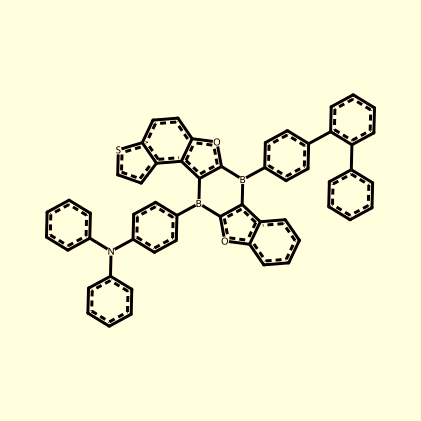 c1ccc(-c2ccccc2-c2ccc(B3c4oc5ccc6sccc6c5c4B(c4ccc(N(c5ccccc5)c5ccccc5)cc4)c4oc5ccccc5c43)cc2)cc1